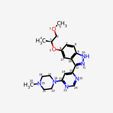 COC[C@H](C)Oc1ccc2[nH]nc(-c3cc(N4CCN(C)CC4)ncn3)c2c1